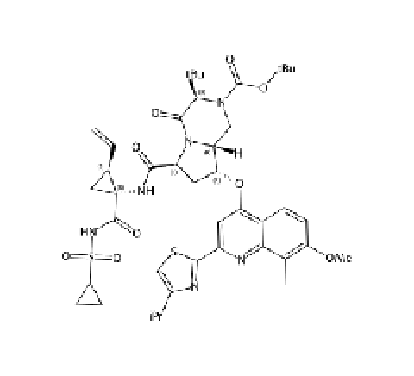 C=C[C@@H]1C[C@]1(NC(=O)[C@@H]1C[C@@H](Oc2cc(-c3nc(C(C)C)cs3)nc3c(C)c(OC)ccc23)[C@H]2CN(C(=O)OC(C)(C)C)[C@H](C(C)(C)C)C(=O)N21)C(=O)NS(=O)(=O)C1CC1